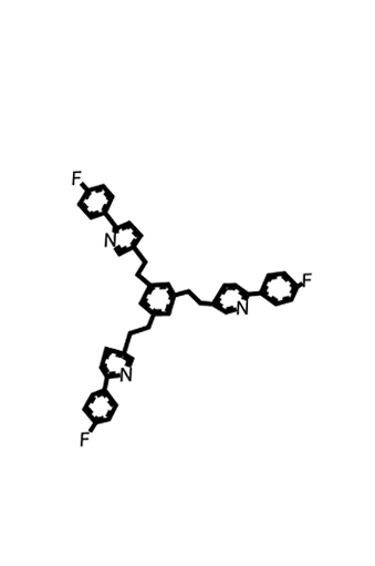 Fc1ccc(-c2ccc(CCc3cc(CCc4ccc(-c5ccc(F)cc5)nc4)cc(CCc4ccc(-c5ccc(F)cc5)nc4)c3)cn2)cc1